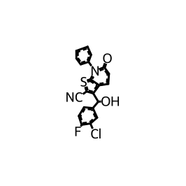 N#Cc1sc2c(ccc(=O)n2-c2ccccc2)c1C(O)c1ccc(F)c(Cl)c1